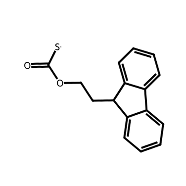 O=C([S])OCCC1c2ccccc2-c2ccccc21